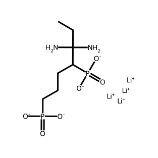 CCC(N)(N)C(CCCP(=O)([O-])[O-])P(=O)([O-])[O-].[Li+].[Li+].[Li+].[Li+]